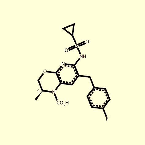 C[C@H]1COc2nc(NS(=O)(=O)C3CC3)c(Cc3ccc(F)cc3)cc2N1C(=O)O